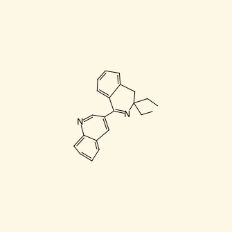 CCC1(CC)Cc2ccccc2C(c2cnc3ccccc3c2)=N1